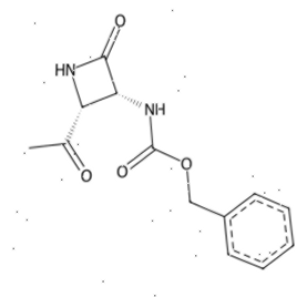 CC(=O)[C@@H]1NC(=O)[C@@H]1NC(=O)OCc1ccccc1